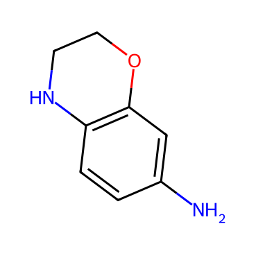 Nc1ccc2c(c1)OCCN2